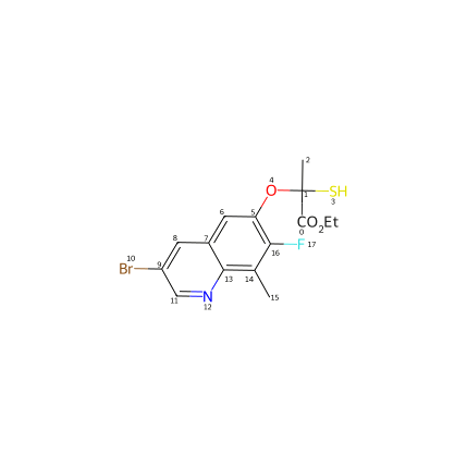 CCOC(=O)C(C)(S)Oc1cc2cc(Br)cnc2c(C)c1F